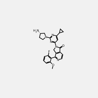 COc1cccc(F)c1-c1nccc2c1CN(c1cc(C3CC3)nc(N3CC[C@H](N)C3)n1)C2=O